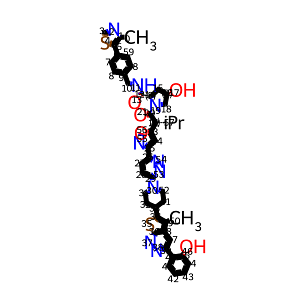 Cc1ncsc1-c1ccc(CNC(=O)[C@@H]2C[C@@H](O)CN2C(=O)[C@@H](c2cc(-c3ccc(N4CCC(c5sc6nnc(-c7ccccc7O)cc6c5C)CC4)nn3)no2)C(C)C)cc1